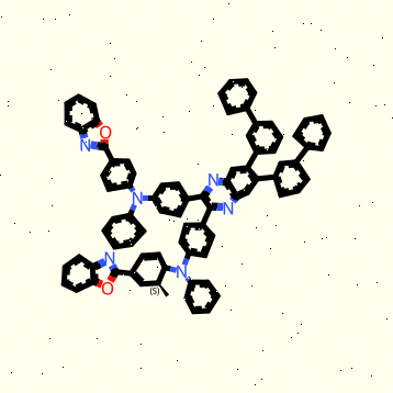 C[C@H]1C=C(c2nc3ccccc3o2)C=CC1N(c1ccccc1)c1ccc(-c2nc3cc(-c4cccc(-c5ccccc5)c4)c(-c4cccc(-c5ccccc5)c4)cc3nc2-c2ccc(N(c3ccccc3)c3ccc(-c4nc5ccccc5o4)cc3)cc2)cc1